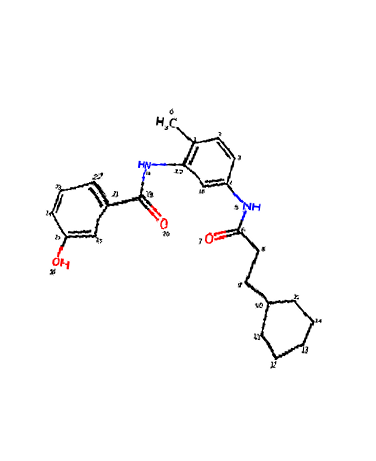 Cc1ccc(NC(=O)CCC2CCCCC2)cc1NC(=O)c1cccc(O)c1